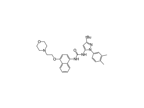 Cc1ccc(-n2nc(C(C)(C)C)cc2NC(=O)Nc2ccc(OCCN3CCOCC3)c3ccccc23)cc1C